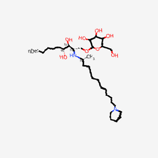 CCCCCCCCCCCCCC[C@@H](O)[C@@H](O)[C@H](COC1OC(CO)C(O)C(O)C1O)N[C@@H](CCCCCCCCCCN1CCCCC1)C(F)(F)F